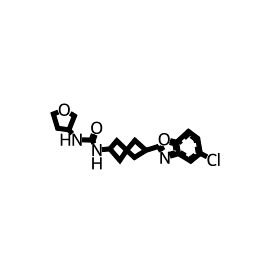 O=C(NC1CCOC1)NC1CC2(C1)CC(c1nc3cc(Cl)ccc3o1)C2